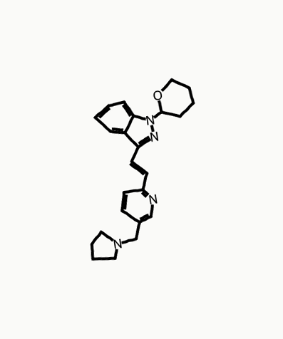 C(=C\c1nn(C2CCCCO2)c2ccccc12)/c1ccc(CN2CCCC2)cn1